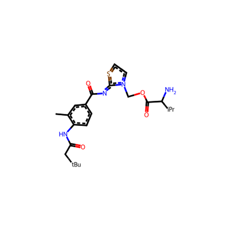 Cc1cc(C(=O)/N=c2\sccn2COC(=O)C(N)C(C)C)ccc1NC(=O)CC(C)(C)C